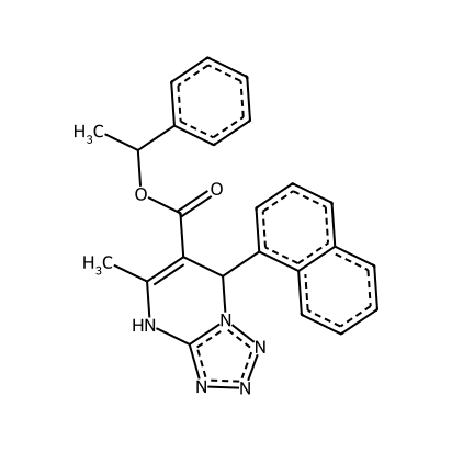 CC1=C(C(=O)OC(C)c2ccccc2)C(c2cccc3ccccc23)n2nnnc2N1